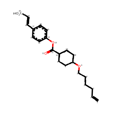 C=CCCCCOC1CCC(C(=O)Oc2ccc(/C=C/C(=O)O)cc2)CC1